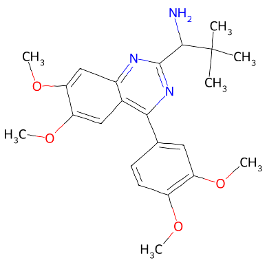 COc1ccc(-c2nc(C(N)C(C)(C)C)nc3cc(OC)c(OC)cc23)cc1OC